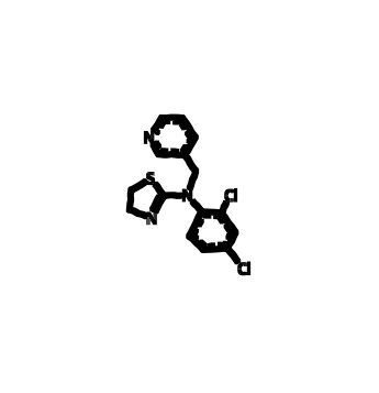 Clc1ccc(N(Cc2cccnc2)C2=NCCS2)c(Cl)c1